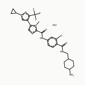 Cl.Cn1c(-c2cn(C3CC3)nc2C(F)(F)F)cnc1C(=O)Nc1ccc(C(=O)NCC2CCC(N)CC2)c(Cl)c1